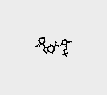 COc1ncccc1-c1cnn2ccc(NC[C@@H]3CCC(=O)N3CCC(C)(C)C)nc12